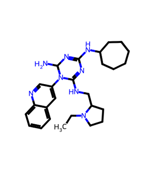 CCN1CCCC1CNC1=NC(NC2CCCCCC2)=NC(N)N1c1cnc2ccccc2c1